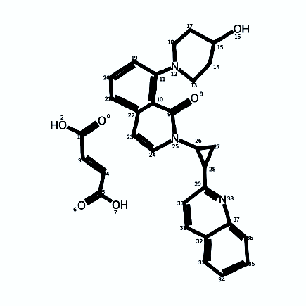 O=C(O)C=CC(=O)O.O=c1c2c(N3CCC(O)CC3)cccc2ccn1C1CC1c1ccc2ccccc2n1